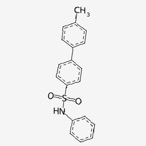 Cc1ccc(-c2ccc(S(=O)(=O)Nc3ccccc3)cc2)cc1